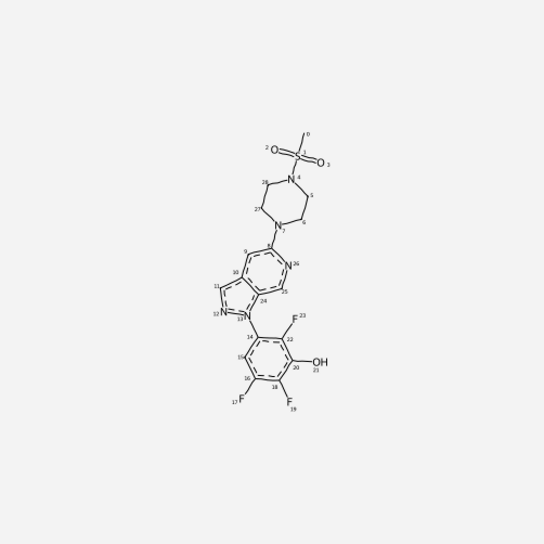 CS(=O)(=O)N1CCN(c2cc3cnn(-c4cc(F)c(F)c(O)c4F)c3cn2)CC1